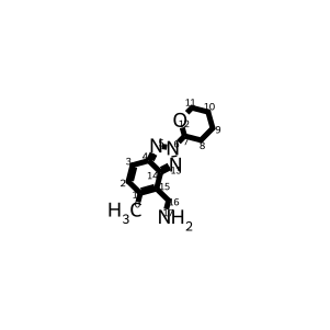 Cc1ccc2nn(C3CCCCO3)nc2c1CN